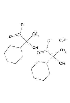 CC(O)(C(=O)[O-])C1CCCCC1.CC(O)(C(=O)[O-])C1CCCCC1.[Cu+2]